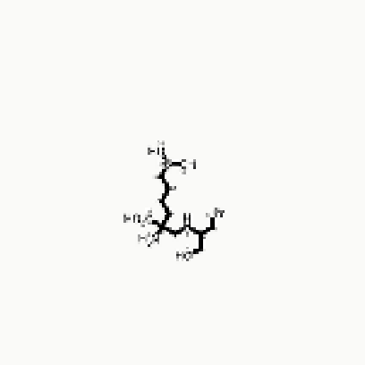 CC(C)CC(CO)NCC(N)(CCCCB(O)O)C(=O)O